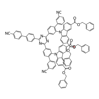 [C-]#[N+]c1cccc(-c2ccc(-c3nc(-c4ccc(-c5ccc(C#N)cc5)cc4)nc(-c4ccc(-c5cccc(C#N)c5)c(-n5c6ccc(C(=O)OCc7ccccc7)cc6c6cc(C(=O)OCc7ccccc7)ccc65)c4)n3)cc2-n2c3ccc(C(=O)OCc4ccccc4)cc3c3cc(C(=O)OCc4ccccc4)ccc32)c1